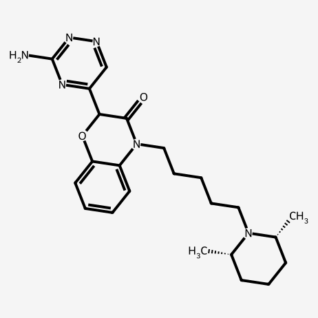 C[C@@H]1CCC[C@H](C)N1CCCCCN1C(=O)C(c2cnnc(N)n2)Oc2ccccc21